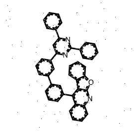 c1ccc(-c2cc(-c3cccc(-c4cccc(-c5c6ccccc6nc6oc7ccccc7c56)c4)c3)nc(-c3ccccc3)n2)cc1